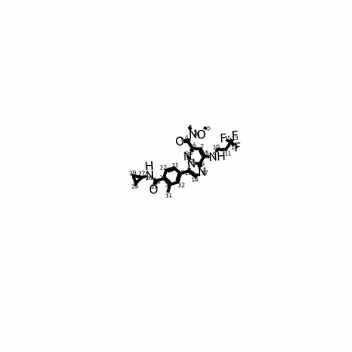 CON(C)C(=O)c1cc(NCCC(F)(F)F)c2ncc(-c3ccc(C(=O)NC4CC4)c(C)c3)n2n1